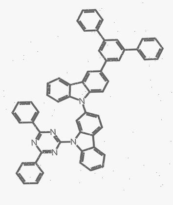 c1ccc(-c2cc(-c3ccccc3)cc(-c3ccc4c(c3)c3ccccc3n4-c3ccc4c5ccccc5n(-c5nc(-c6ccccc6)nc(-c6ccccc6)n5)c4c3)c2)cc1